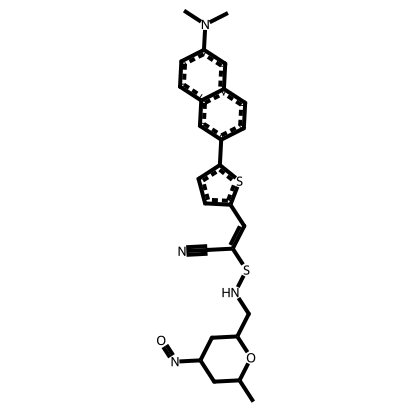 CC1CC(N=O)CC(CNS/C(C#N)=C/c2ccc(-c3ccc4cc(N(C)C)ccc4c3)s2)O1